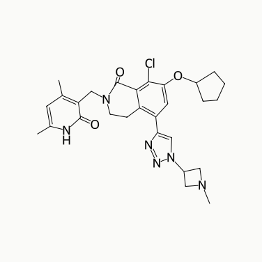 Cc1cc(C)c(CN2CCc3c(-c4cn(C5CN(C)C5)nn4)cc(OC4CCCC4)c(Cl)c3C2=O)c(=O)[nH]1